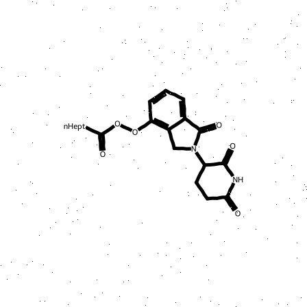 CCCCCCCC(=O)OOc1cccc2c1CN(C1CCC(=O)NC1=O)C2=O